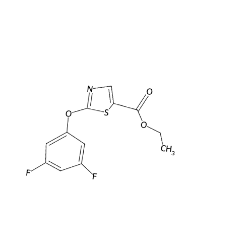 CCOC(=O)c1cnc(Oc2cc(F)cc(F)c2)s1